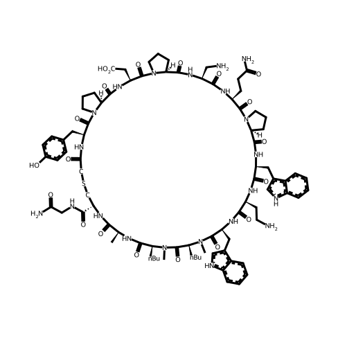 CCCC[C@H]1C(=O)N(C)[C@@H](CCCC)C(=O)N[C@@H](C)C(=O)N[C@H](C(=O)NCC(N)=O)CSCC(=O)N[C@@H](Cc2ccc(O)cc2)C(=O)N2CCC[C@H]2C(=O)N[C@@H](CC(=O)O)C(=O)N2CCC[C@H]2C(=O)N[C@@H](CN)C(=O)N[C@@H](CCC(N)=O)C(=O)N2CCC[C@H]2C(=O)N[C@@H](Cc2c[nH]c3ccccc23)C(=O)N[C@@H](CCN)C(=O)N[C@@H](Cc2c[nH]c3ccccc23)C(=O)N1C